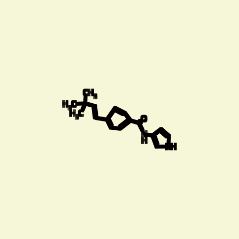 CC(C)(C)/C=C/c1ccc(C(=O)Nc2cc[nH]c2)cc1